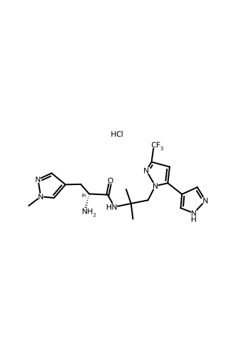 Cl.Cn1cc(C[C@@H](N)C(=O)NC(C)(C)Cn2nc(C(F)(F)F)cc2-c2cn[nH]c2)cn1